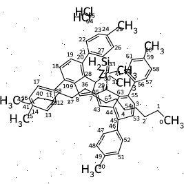 CCCCCCCC1=Cc2c(-c3ccc(C)cc3)ccc(-c3ccc(C)cc3)c2[CH]1[Zr]([CH3])([CH3])(=[SiH2])[CH]1C(CCCCCCC)=Cc2c(-c3ccc(C)cc3)ccc(-c3ccc(C)cc3)c21.Cl.Cl